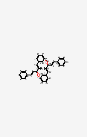 O=C(/C=C/c1ccccc1)/[C](=C/c1ccccc1)[Pd]/[C](=C\c1ccccc1)C(=O)/C=C/c1ccccc1